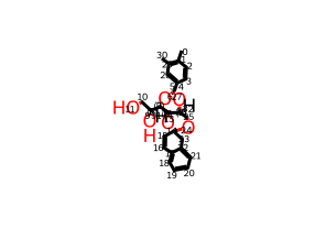 Cc1ccc(C2O[C@H]([C@H](O)CO)[C@@H]3OC4(C=Cc5ccccc5C4)OC[C@@H]3O2)cc1C